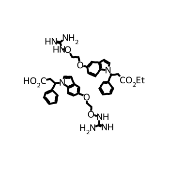 CCOC(=O)CC(c1ccccc1)n1ccc2cc(OCCONC(=N)N)ccc21.N=C(N)NOCCOc1ccc2c(ccn2C(CC(=O)O)c2ccccc2)c1